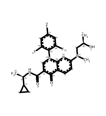 C[C@@H](O)CN(C)c1ccc2c(=O)c(C(=O)N[C@@H](C3CC3)C(F)(F)F)cn(-c3c(F)cc(F)cc3F)c2n1